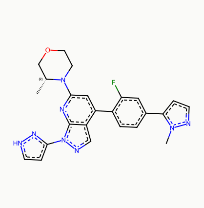 C[C@@H]1COCCN1c1cc(-c2ccc(-c3ccnn3C)cc2F)c2cnn(-c3cc[nH]n3)c2n1